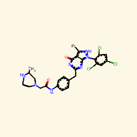 CC1CN(CC(=O)Nc2ccc(Cc3nc4n(-c5c(Cl)cc(Cl)cc5Cl)[nH]c(C(C)C)c-4c(=O)n3)cc2)CCN1